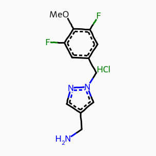 COc1c(F)cc(Cn2cc(CN)cn2)cc1F.Cl